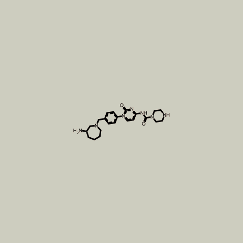 NC1CCCCN(Cc2ccc(-n3ccc(NC(=O)N4CCNCC4)nc3=O)cc2)C1